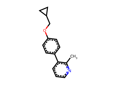 Cc1ncccc1-c1ccc(OCC2CC2)cc1